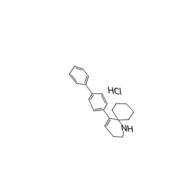 C1=C(c2ccc(-c3ccccc3)cc2)C2(CCCCC2)NCC1.Cl